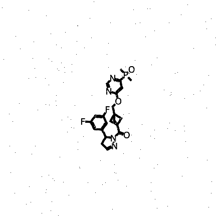 CP(C)(=O)c1cc(OCC23CC(C(=O)N4N=CCC4c4cc(F)cc(F)c4)(C2)C3)ncn1